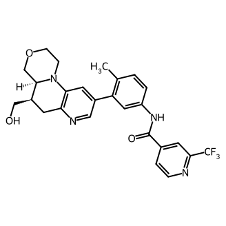 Cc1ccc(NC(=O)c2ccnc(C(F)(F)F)c2)cc1-c1cnc2c(c1)N1CCOC[C@@H]1[C@H](CO)C2